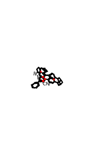 N#Cc1c(-c2ccccc2)nc(-c2ccccc2)nc1-c1ccc(C2CC3CC4CC(c5ccc(-c6c7ccccc7c(C#N)c7ccccc67)cc5)C342)cc1